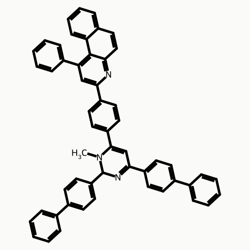 CN1C(c2ccc(-c3cc(-c4ccccc4)c4c(ccc5ccccc54)n3)cc2)=CC(c2ccc(-c3ccccc3)cc2)=NC1c1ccc(-c2ccccc2)cc1